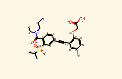 CCCN(CC)C(=O)c1ccc(C#Cc2cc(Cl)ccc2OCC(=O)O)cc1S(=O)(=O)C(C)C